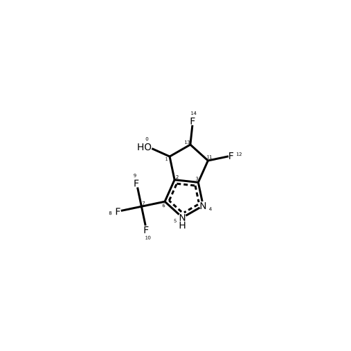 OC1c2c(n[nH]c2C(F)(F)F)C(F)C1F